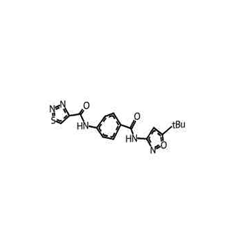 CC(C)(C)c1cc(NC(=O)c2ccc(NC(=O)c3csnn3)cc2)no1